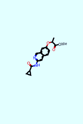 COC(=O)C(C)Oc1ccc2cc(NC(=O)C3CC3)ncc2c1